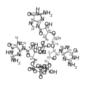 COC1[C@@H](OP(=O)(O)OC[C@H]2O[C@@H](n3cnc4c(=O)[nH]c(N)nc43)C(O)[C@H]2OC(C)C)[C@@H](COP(=O)(O)OP(=O)(O)OP(=O)(O)OC[C@H]2O[C@@H](n3c[n+](C)c4c(=O)[nH]c(N)nc43)[C@@H](O)C2O)O[C@H]1n1cnc2c(=O)[nH]c(N)nc21